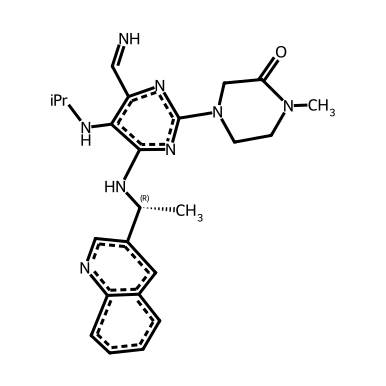 CC(C)Nc1c(C=N)nc(N2CCN(C)C(=O)C2)nc1N[C@H](C)c1cnc2ccccc2c1